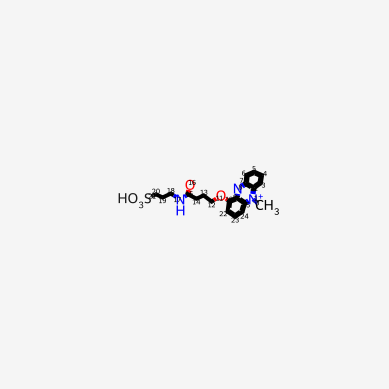 C[n+]1c2ccccc2nc2c(OCCCC(=O)NCCCS(=O)(=O)O)cccc21